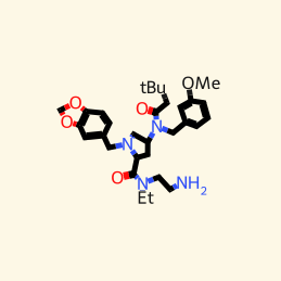 CCN(CCN)C(=O)C1CC(N(Cc2cccc(OC)c2)C(=O)CC(C)(C)C)CN1Cc1ccc2c(c1)OCO2